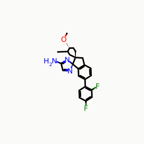 CO[C@@H]1CC[C@]2(Cc3ccc(-c4ccc(F)cc4F)cc3[C@@]23N=CC(N)=N3)CC1C